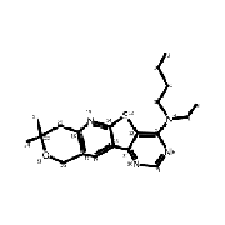 CCCCN(CC)c1ncnc2c1sc1nc3c(cc12)COC(C)(C)C3